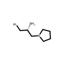 CC(C)C[C@H](N)CN1CCCC1